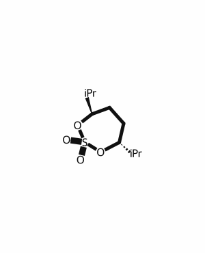 CC(C)[C@H]1CC[C@H](C(C)C)OS(=O)(=O)O1